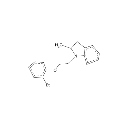 CCc1ccccc1OCCN1c2ccccc2CC1C